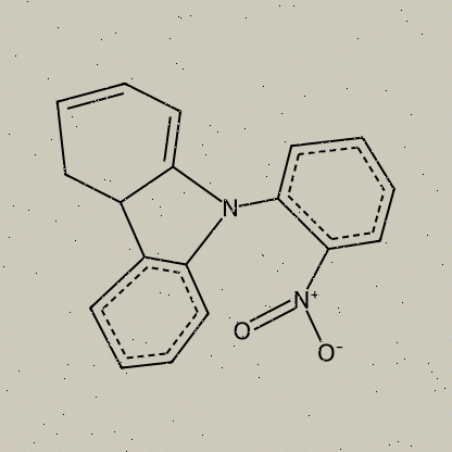 O=[N+]([O-])c1ccccc1N1C2=CC=CCC2c2ccccc21